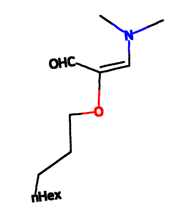 CCCCCCCCCO/C(C=O)=C/N(C)C